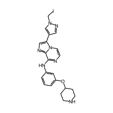 ICn1cc(-c2cnc3c(Nc4cccc(OC5CCNCC5)c4)nccn23)cn1